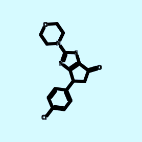 O=C1CC(c2ccc(Cl)cc2)c2nc(N3CCOCC3)sc21